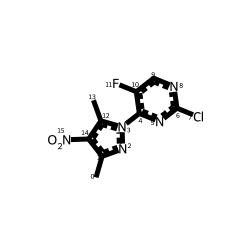 Cc1nn(-c2nc(Cl)ncc2F)c(C)c1[N+](=O)[O-]